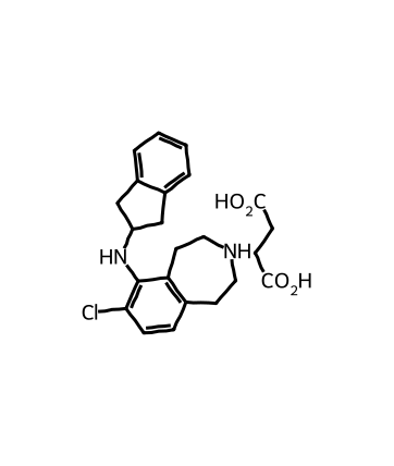 Clc1ccc2c(c1NC1Cc3ccccc3C1)CCNCC2.O=C(O)CCC(=O)O